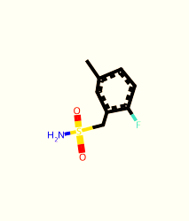 Cc1ccc(F)c(CS(N)(=O)=O)c1